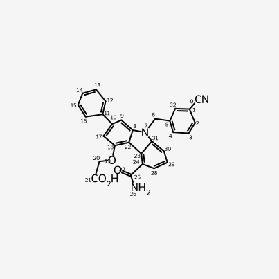 N#Cc1cccc(Cn2c3cc(-c4ccccc4)cc(OCC(=O)O)c3c3c(C(N)=O)cccc32)c1